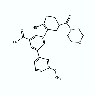 COc1cccc(-c2cc(C(N)=O)c3[nH]c4c(c3c2)CC(C(=O)N2CCOCC2)CC4)c1